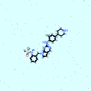 CN(c1ccccc1Cn1ccc2cnc(Nc3ccc(C4CCNCC4)cc3F)nc21)S(C)(=O)=O